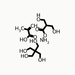 C=C(C)C(=O)O.NOC(=O)C(CO)CO.OCC(CO)(CO)CO